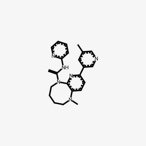 C=C(Nc1ccccn1)N1CCCCN(C)c2ccc(-c3cncc(C)c3)nc21